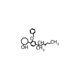 CCCCCCC(C)(C)c1ccc(C2CCCCCC(O)C2)c(OCc2ccccc2)c1